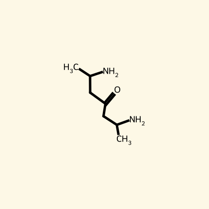 CC(N)CC(=O)CC(C)N